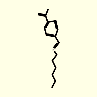 C=C(C)c1ccc(C=NCCCCCC)cc1